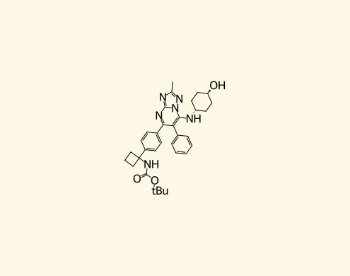 Cc1nc2nc(-c3ccc(C4(NC(=O)OC(C)(C)C)CCC4)cc3)c(-c3ccccc3)c(N[C@H]3CC[C@H](O)CC3)n2n1